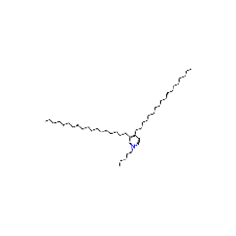 CCCCCCCCCCCCCCCCCCc1cc[n+](CCCCC)cc1CCCCCCCCCCCCCCCCCC